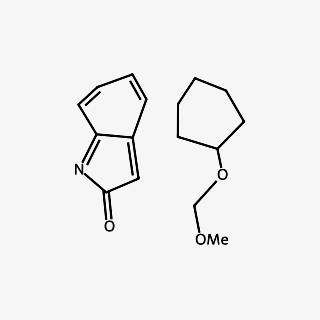 COCOC1CCCCC1.O=C1C=c2ccccc2=N1